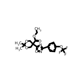 CCOC(=O)C1(c2nc(-c3ccc(OC(F)(F)F)cc3)no2)COC(C)(C)OC1